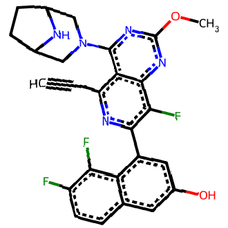 C#Cc1nc(-c2cc(O)cc3ccc(F)c(F)c23)c(F)c2nc(OC)nc(N3CC4CCC(C3)N4)c12